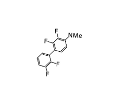 CNc1ccc(-c2cccc(F)c2F)c(F)c1F